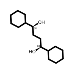 O[C@@H](CC[C@H](O)C1CCCCC1)C1CCCCC1